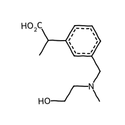 CC(C(=O)O)c1cccc(CN(C)CCO)c1